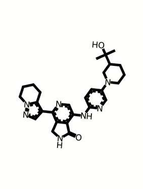 CC(C)(O)C1CCCN(c2ccc(Nc3cnc(-c4cnn5c4CCCC5)c4c3C(=O)NC4)nc2)C1